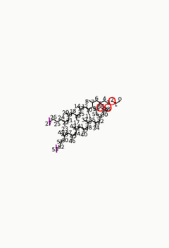 CCOC(CCCC(C)CC(C)CC(C)CC(C)CC(C)CC(C)CCCI)OC(CCCC(C)CC(C)CC(C)CC(C)CC(C)CC(C)CCCI)OCC